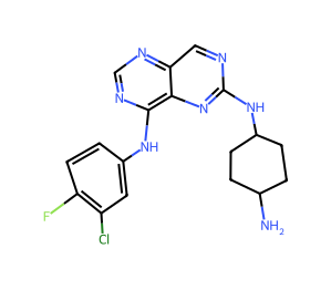 NC1CCC(Nc2ncc3ncnc(Nc4ccc(F)c(Cl)c4)c3n2)CC1